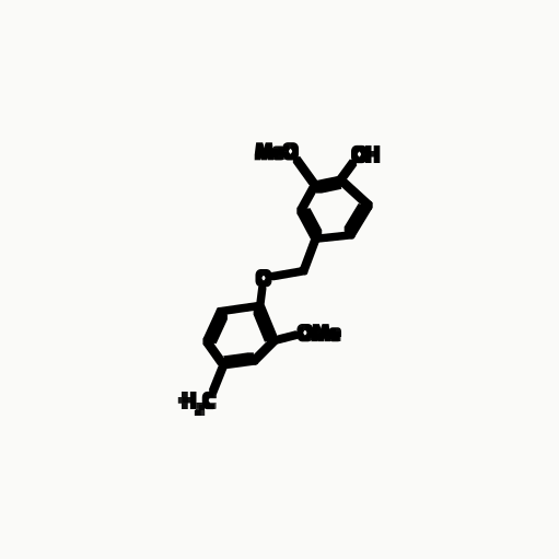 [CH2]c1ccc(OCc2ccc(O)c(OC)c2)c(OC)c1